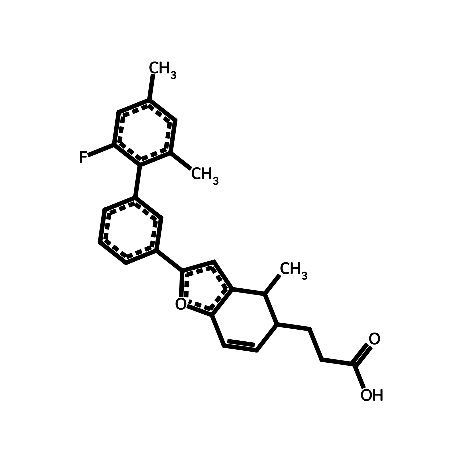 Cc1cc(C)c(-c2cccc(-c3cc4c(o3)C=CC(CCC(=O)O)C4C)c2)c(F)c1